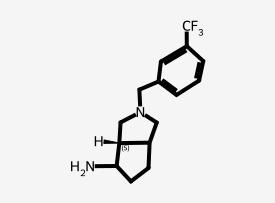 NC1CCC2CN(Cc3cccc(C(F)(F)F)c3)C[C@@H]12